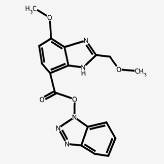 COCc1nc2c(OC)ccc(C(=O)On3nnc4ccccc43)c2[nH]1